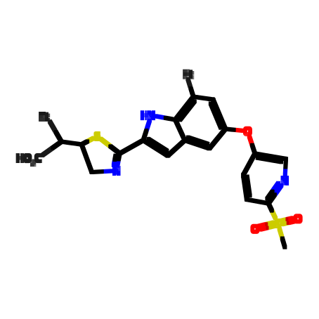 CCc1cc(Oc2ccc(S(C)(=O)=O)nc2)cc2cc(C3=NCC(C(CC)C(=O)O)S3)[nH]c12